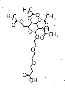 CC(=O)NC1C(OCCOCCOCCC(=O)O)OC(COC(C)=O)C(OC(C)=O)C1OC(C)=O